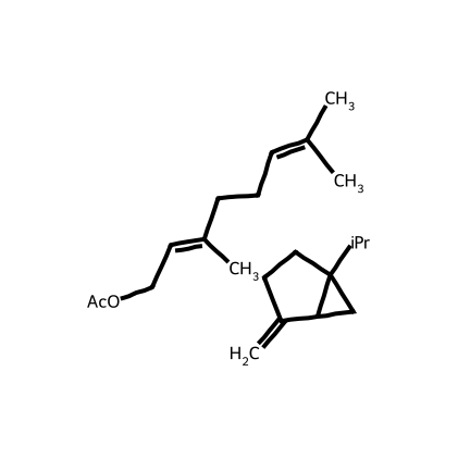 C=C1CCC2(C(C)C)CC12.CC(=O)OC/C=C(\C)CCC=C(C)C